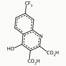 O=C(O)c1nc2cc(C(F)(F)F)ccc2c(O)c1C(=O)O